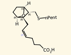 CCCCCSC[C@@H]1[C@@H](C/C=C\CCCC(=O)O)[C@H]2CC[C@@H]1O2